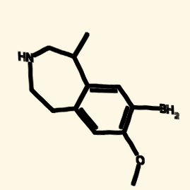 Bc1cc2c(cc1OC)CCNCC2C